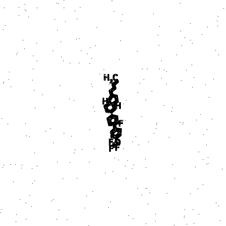 CCCCCC1CC[C@@H]2C[C@H](c3ccc(-c4ccc(OC(F)(F)F)cc4)c(F)c3)CC[C@@H]2C1